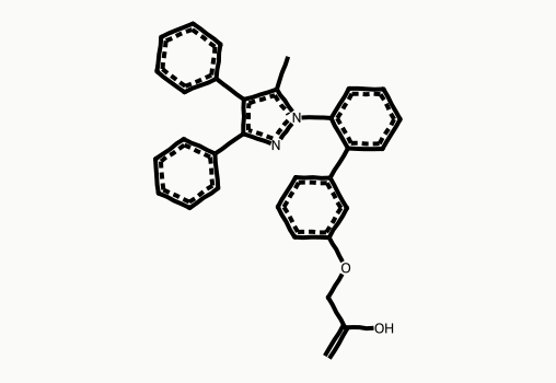 C=C(O)COc1cccc(-c2ccccc2-n2nc(-c3ccccc3)c(-c3ccccc3)c2C)c1